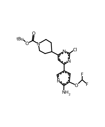 CC(C)(C)OC(=O)N1CCC(c2cc(-c3cnc(N)c(OC(F)F)c3)nc(Cl)n2)CC1